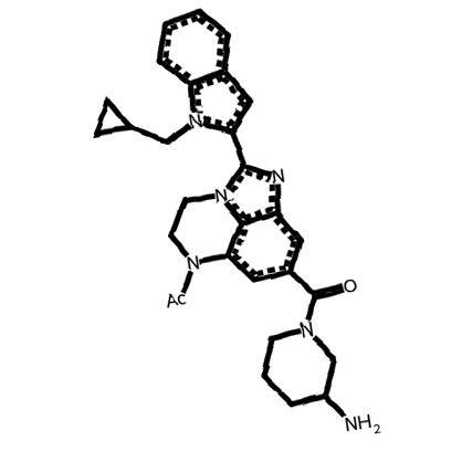 CC(=O)N1CCn2c(-c3cc4ccccc4n3CC3CC3)nc3cc(C(=O)N4CCCC(N)C4)cc1c32